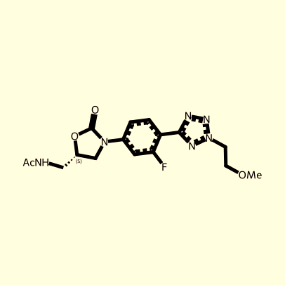 COCCn1nnc(-c2ccc(N3C[C@H](CNC(C)=O)OC3=O)cc2F)n1